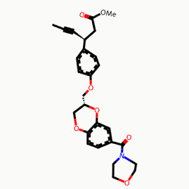 CC#C[C@@H](CC(=O)OC)c1ccc(OC[C@H]2COc3ccc(C(=O)N4CCOCC4)cc3O2)cc1